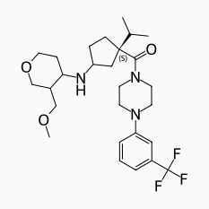 COCC1COCCC1NC1CC[C@@](C(=O)N2CCN(c3cccc(C(F)(F)F)c3)CC2)(C(C)C)C1